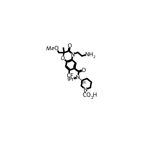 COCC1(C)Oc2cc(C(F)(F)F)c(C(=O)N(C(C)C)[C@@H]3CCCN(C(=O)O)C3)cc2N(CCN)C1=O